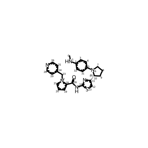 CNc1ccc(N2CCC[C@@H]2c2csc(NC(=O)c3cccn3Cc3ccncc3)n2)cc1